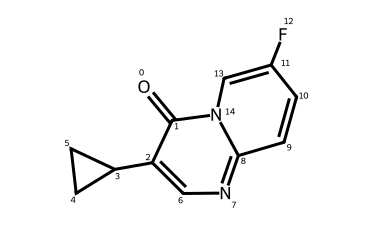 O=c1c(C2CC2)cnc2ccc(F)cn12